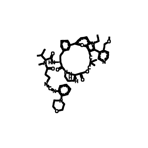 CCn1c(-c2cnccc2COC)c2c3cc(ccc31)-c1cccc(c1)C[C@H](NC(=O)C(C(C)C)N(C)C(=O)CCN=C=Nc1ccccc1N1CCOCC1)C(=O)N1CCC[C@H](N1)C(=O)OCC(C)(C)C2